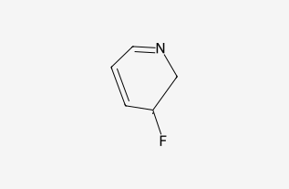 F[C]1C=CC=NC1